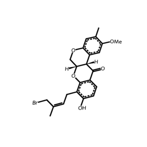 COc1cc2c(cc1C)OC[C@H]1Oc3c(ccc(O)c3C/C=C(/C)CBr)C(=O)[C@@H]21